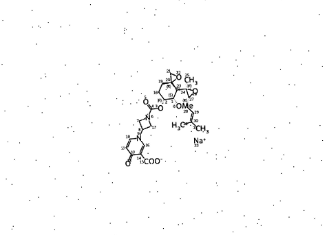 CO[C@@H]1[C@H](OC(=O)N2CC(n3ccc(=O)c(C(=O)[O-])c3)C2)CC[C@]2(CO2)[C@H]1[C@@]1(C)O[C@@H]1CC=C(C)C.[Na+]